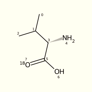 CC(C)[C@H](N)C(O)=[18O]